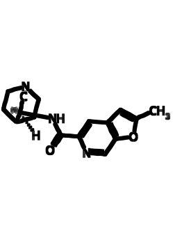 Cc1cc2cc(C(=O)N[C@@H]3CN4CCC3CC4)ncc2o1